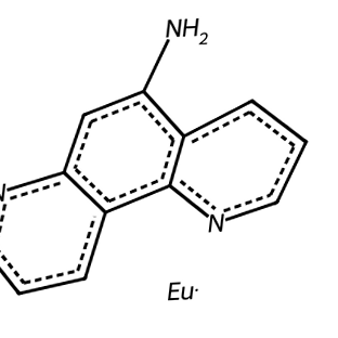 Nc1cc2ncccc2c2ncccc12.[Eu]